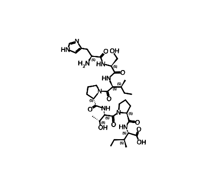 CC[C@H](C)[C@H](NC(=O)[C@@H]1CCCN1C(=O)[C@@H](NC(=O)[C@@H]1CCCN1C(=O)[C@@H](NC(=O)[C@H](CO)NC(=O)[C@@H](N)Cc1c[nH]cn1)[C@@H](C)CC)[C@@H](C)O)C(=O)O